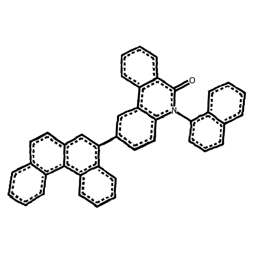 O=c1c2ccccc2c2cc(-c3cc4ccc5ccccc5c4c4ccccc34)ccc2n1-c1cccc2ccccc12